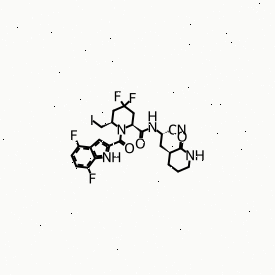 N#C[C@H](C[C@@H]1CCCNC1=O)NC(=O)[C@@H]1CC(F)(F)C[C@H](CI)N1C(=O)c1cc2c(F)ccc(F)c2[nH]1